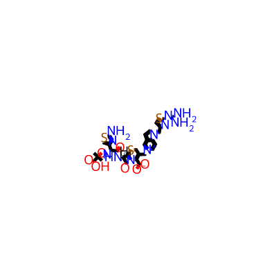 CC(C)(ON=C(C(=O)N[C@@H]1C(=O)N2C(C(=O)[O-])=C(C[n+]3ccc4c(ccn4Cc4csc(N=C(N)N)n4)c3)CS[C@H]12)c1csc(N)n1)C(=O)O